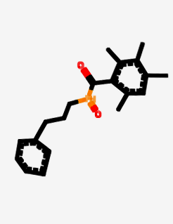 Cc1cc(C)c(C(=O)[PH](=O)CCCc2ccccc2)c(C)c1C